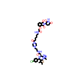 Cc1sc2c(c1C)C(c1ccc(Cl)cc1)=N[C@@H](CC(=O)NCCCN1CCN(C(=O)CCCCCNC(=O)COc3cccc4c3C(=O)N(C3CCC(=O)NC3=O)C4=O)CC1)c1nnc(C)n1-2